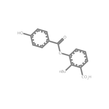 CCCCc1c(OC(=O)c2ccc(O)cc2)cccc1C(=O)O